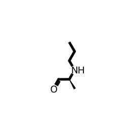 CCCN[C@@H](C)C=O